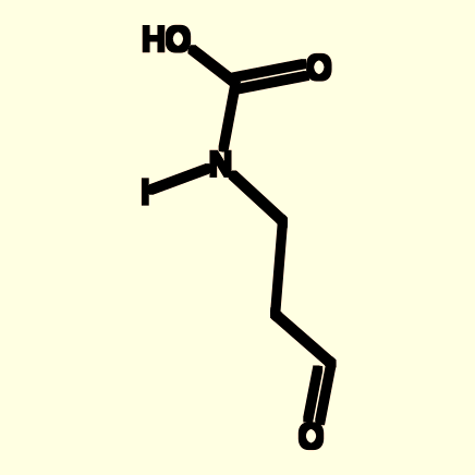 O=CCCN(I)C(=O)O